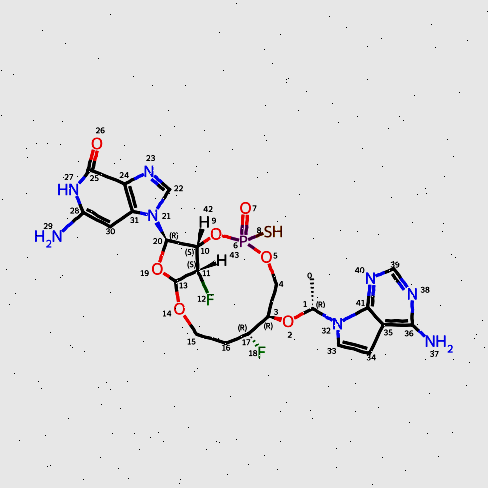 C[C@@H](O[C@@H]1COP(=O)(S)O[C@@H]2[C@H](F)C(OCC[C@H]1F)O[C@H]2n1cnc2c(=O)[nH]c(N)cc21)n1ccc2c(N)ncnc21